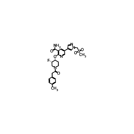 Cc1ccc(CC(=O)N2CC[C@@H](Oc3ncc(-c4cnn(CS(C)(=O)=O)c4)cc3C(N)=O)[C@@H](F)C2)cc1